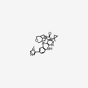 Cn1cncc1-c1ccc(Nc2ncnc(OC3C4COCC3CN(C(=O)OC3(C)CC3)C4)c2F)c(F)c1